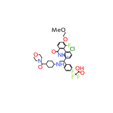 COCCOc1ccc(C(N)=O)c(-c2cc(C(CNC3CCC(C(=O)N4CCOCC4)CC3)c3ccccc3)ccc2Cl)c1F.O=C(O)C(F)(F)F